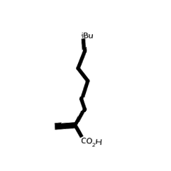 C=C(CCCCCC(C)CC)C(=O)O